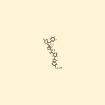 CC(=O)Nc1ccc2oc(-c3ccnc(C(=O)NC45CC(C4)[C@@H](NC(c4ccccc4)c4nnn(C)n4)C5)c3)nc2c1